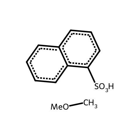 COC.O=S(=O)(O)c1cccc2ccccc12